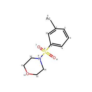 CC(=O)c1cccc(S(=O)(=O)N2CCOCC2)c1